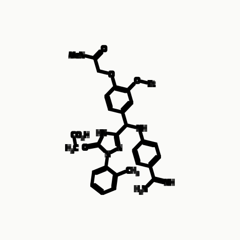 CC(=O)O.CCOc1cc(C(Nc2ccc(C(=N)N)cc2)c2nn(-c3ccccc3C)c(=O)[nH]2)ccc1OCC(=O)NC